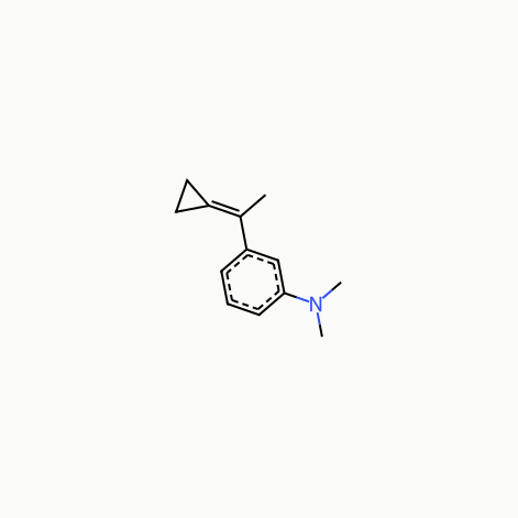 CC(=C1CC1)c1cccc(N(C)C)c1